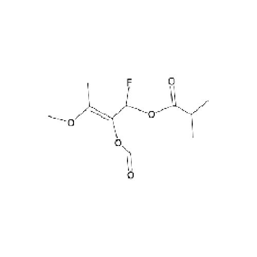 CO/C(C)=C(\OC=O)C(F)OC(=O)C(C)C